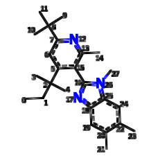 CCC(C)(C)c1cc(C(C)(C)C)nc(C)c1-c1nc2cc(C)c(C)cc2n1C